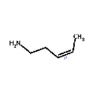 C/C=C\CCN